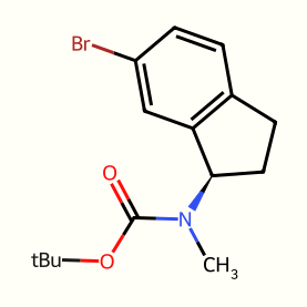 CN(C(=O)OC(C)(C)C)[C@@H]1CCc2ccc(Br)cc21